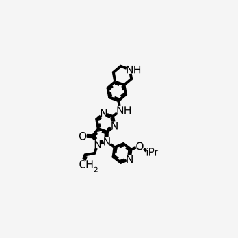 C=CCn1c(=O)c2cnc(Nc3ccc4c(c3)CNCC4)nc2n1-c1ccnc(OC(C)C)c1